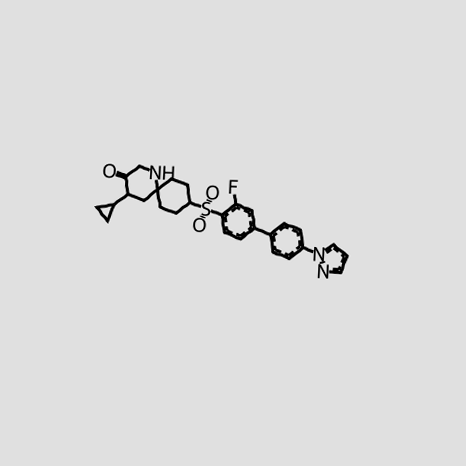 O=C1CNC2(CCC(S(=O)(=O)c3ccc(-c4ccc(-n5cccn5)cc4)cc3F)CC2)CC1C1CC1